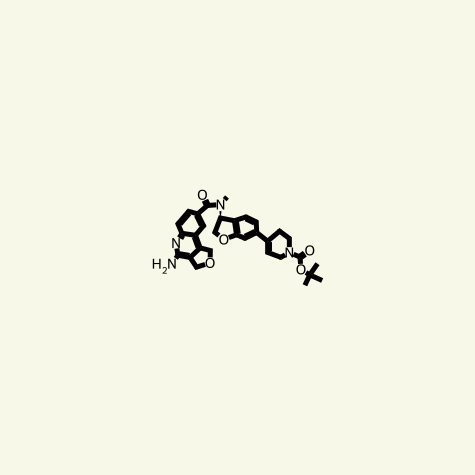 CN(C(=O)c1ccc2nc(N)c3c(c2c1)COC3)[C@H]1COc2cc(C3=CCN(C(=O)OC(C)(C)C)CC3)ccc21